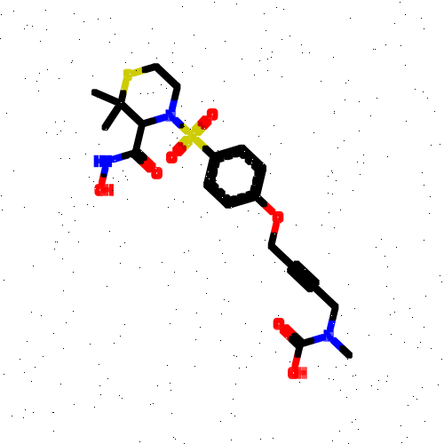 CN(CC#CCOc1ccc(S(=O)(=O)N2CCSC(C)(C)C2C(=O)NO)cc1)C(=O)O